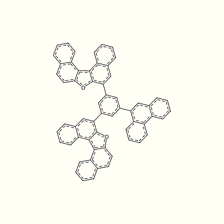 c1ccc2c(c1)cc(-c1cc(-c3cc4ccccc4c4c3oc3ccc5ccccc5c34)cc(-c3cc4ccccc4c4c3oc3ccc5ccccc5c34)c1)c1ccccc12